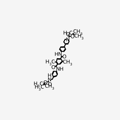 Cc1cc(C(=O)Nc2ccc(C3=CCN(C(=O)OC(C)(C)C)CC3)cc2)c(C)cc1C(=O)Nc1ccc(CNC(=O)OC(C)(C)C)cc1